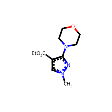 CCOC(=O)c1cn(C)nc1N1CCOCC1